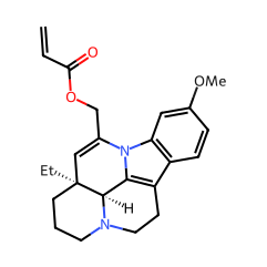 C=CC(=O)OCC1=C[C@]2(CC)CCCN3CCc4c(n1c1cc(OC)ccc41)[C@@H]32